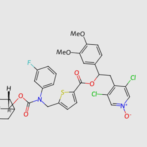 COc1ccc(C(Cc2c(Cl)c[n+]([O-])cc2Cl)OC(=O)c2ccc(CN(C(=O)O[C@H]3CN4CCC3CC4)c3cccc(F)c3)s2)cc1OC